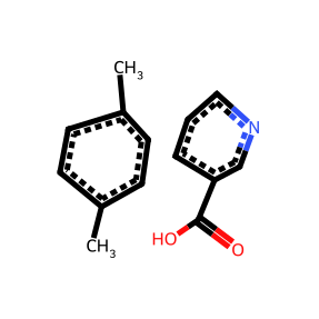 Cc1ccc(C)cc1.O=C(O)c1cccnc1